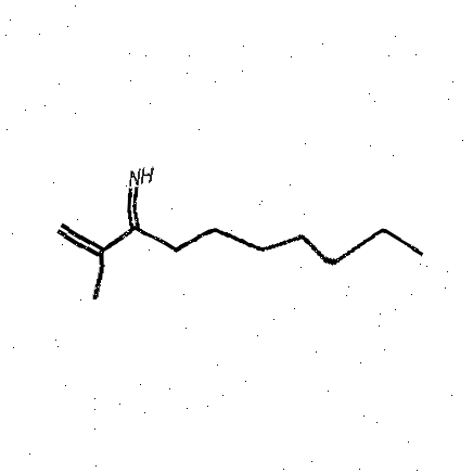 C=C(C)C(=N)CCCCCCC